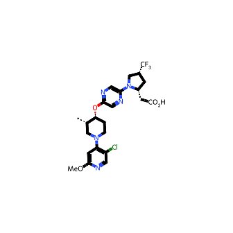 COc1cc(N2CC[C@@H](Oc3cnc(N4C[C@H](C(F)(F)F)C[C@@H]4CC(=O)O)cn3)[C@@H](C)C2)c(Cl)cn1